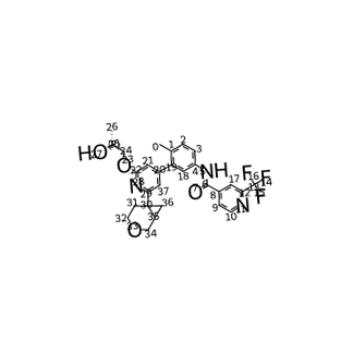 Cc1ccc(NC(=O)c2ccnc(C(F)(F)F)c2)cc1-c1cc(OC[C@@H](C)O)nc(C23CCOCC2C3)c1